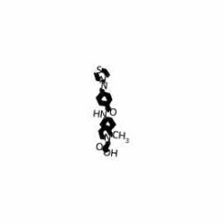 CC1c2ccc(NC(=O)c3ccc(C=NN4CCSCC4)cc3)cc2CCN1CC(=O)O